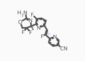 C[C@]1(c2nc(/C=C(\F)c3ccc(C#N)cn3)ccc2F)N=C(N)OCC1(F)F